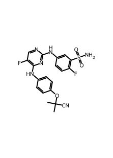 CC(C)(C#N)Oc1ccc(Nc2nc(Nc3ccc(F)c(S(N)(=O)=O)c3)ncc2F)cc1